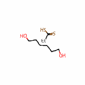 CCC(=S)S.OCCCCCCO